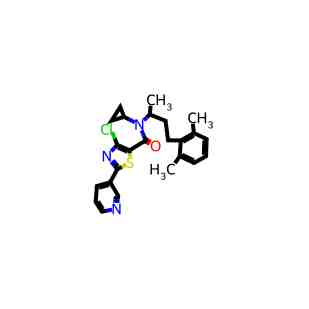 Cc1cccc(C)c1CCC(C)N(C(=O)c1sc(-c2cccnc2)nc1Cl)C1CC1